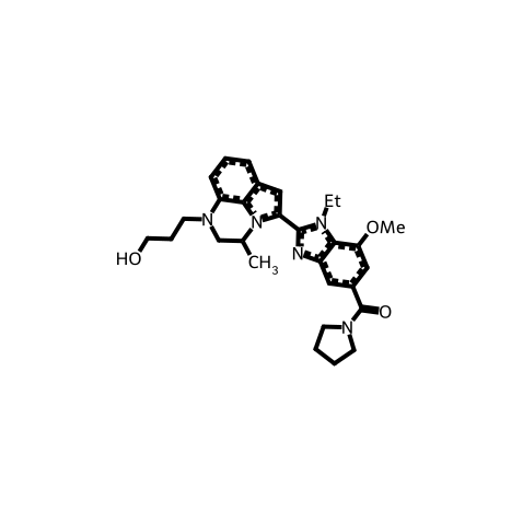 CCn1c(-c2cc3cccc4c3n2C(C)CN4CCCO)nc2cc(C(=O)N3CCCC3)cc(OC)c21